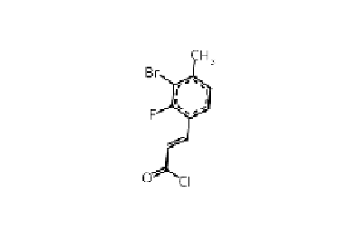 Cc1ccc(C=CC(=O)Cl)c(F)c1Br